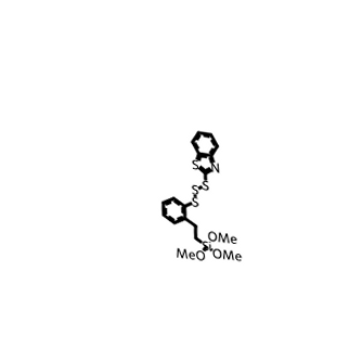 CO[Si](CCc1ccccc1SSSc1nc2ccccc2s1)(OC)OC